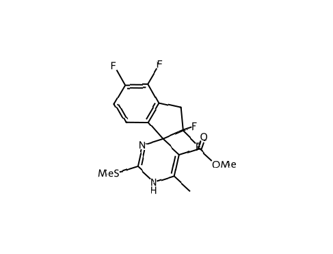 COC(=O)C1=C(C)NC(SC)=NC12c1ccc(F)c(F)c1CC2(F)F